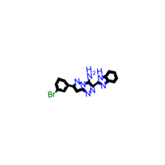 Nc1c(-c2nc3ccccc3[nH]2)nnc2cc(-c3cccc(Br)c3)nn12